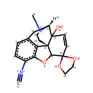 [C-]#[N+]c1ccc2c3c1OC1C4(C=CC5(O)[C@@H](C2)N(C)CC[C@]315)OCCO4